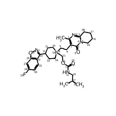 Cc1nc2n(c(=O)c1CC[N+]1(COC(=O)NCC(C)C)CCC(c3noc4cc(F)ccc34)CC1)CCCC2